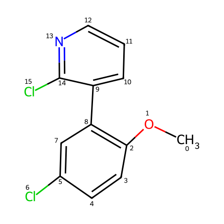 COc1ccc(Cl)cc1-c1cccnc1Cl